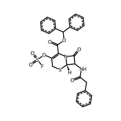 O=C(Cc1ccccc1)NC1C(=O)N2C(C(=O)OC(c3ccccc3)c3ccccc3)=C(OS(=O)(=O)F)CS[C@@H]12